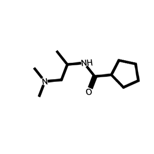 CC(CN(C)C)NC(=O)C1CCCC1